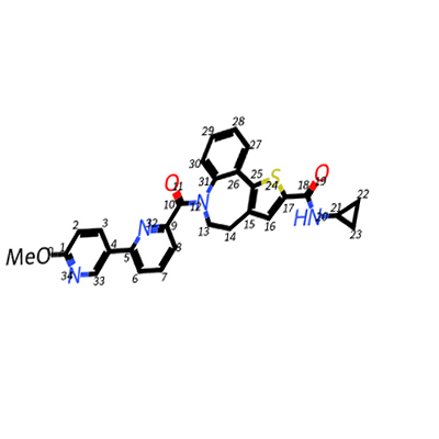 COc1ccc(-c2cccc(C(=O)N3CCc4cc(C(=O)NC5CC5)sc4-c4ccccc43)n2)cn1